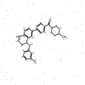 CN1CCN(C(=O)c2ccc(-c3cnc4c(c3)C(Oc3cccc(Cl)c3)CCN4)cc2)CC1